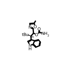 Cc1cnc(C(OC(N)=O)[C@@H](c2c[nH]c3ccccc23)C(C)(C)C)o1